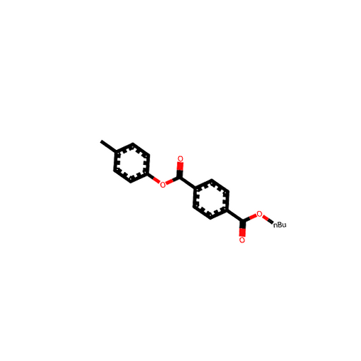 CCCCOC(=O)c1ccc(C(=O)Oc2ccc(C)cc2)cc1